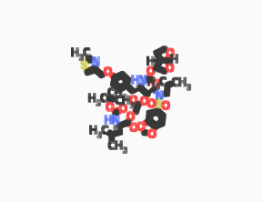 Cc1nc(COc2ccc(C[C@@H](NC(=O)O[C@H]3CO[C@H]4OCC[C@H]43)[C@@H](CN(CC(C)C)S(=O)(=O)c3ccc4c(c3)OCO4)OC(=O)COC(=O)[C@@H](CC(C)C)NC(=O)OC(C)(C)C)cc2)cs1